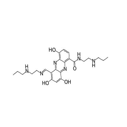 CCCNCCN=Cc1c(O)cc(O)c2nc3c(C(=O)NCCNCCC)ccc(O)c3nc12